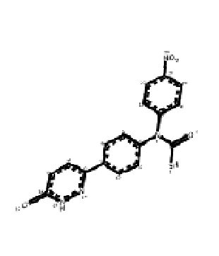 O=C(S)N(c1ccc(-c2ccc(=O)[nH]n2)cc1)c1ccc([N+](=O)[O-])cc1